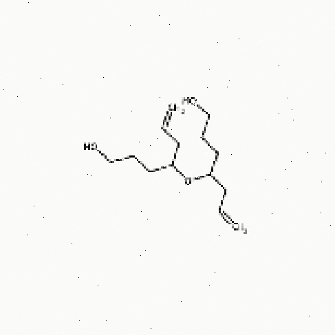 C=CCC(CCCO)OC(CC=C)CCCO